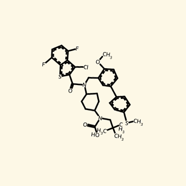 COc1ccc(-c2ccc(SC)cc2)cc1CN(C(=O)c1sc2c(F)ccc(F)c2c1Cl)C1CCC(N(CC(C)(C)C)C(=O)O)CC1